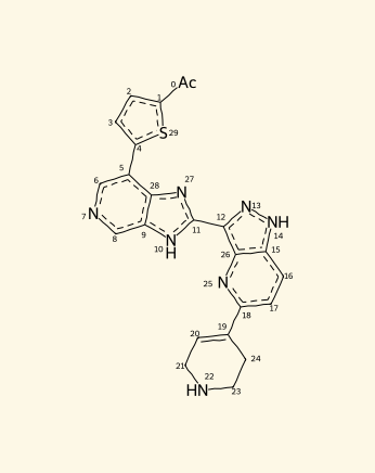 CC(=O)c1ccc(-c2cncc3[nH]c(-c4n[nH]c5ccc(C6=CCNCC6)nc45)nc23)s1